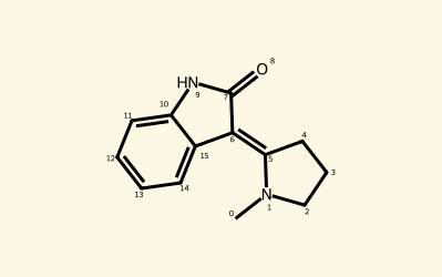 CN1CCCC1=C1C(=O)Nc2ccccc21